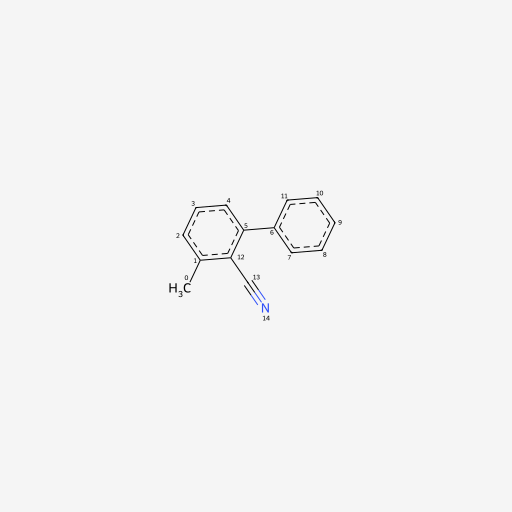 Cc1cccc(-c2ccccc2)c1C#N